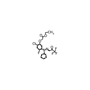 CCOC(=O)COc1cc(N(N=CC(=O)C(F)(F)F)c2ccccc2)c(F)cc1Cl